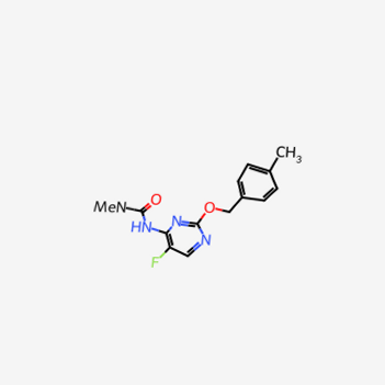 CNC(=O)Nc1nc(OCc2ccc(C)cc2)ncc1F